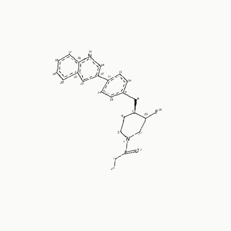 CCC(=O)N1CC[C@@H](Cc2ccc(-c3cnc4ccccc4c3)cc2)C(F)C1